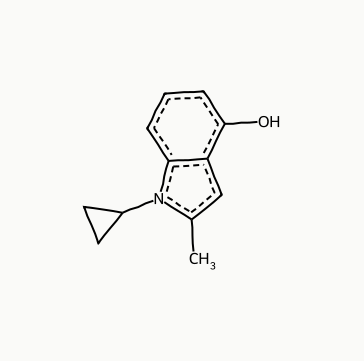 Cc1cc2c(O)cccc2n1C1CC1